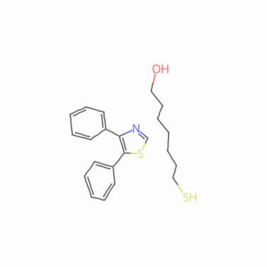 OCCCCCCCS.c1ccc(-c2ncsc2-c2ccccc2)cc1